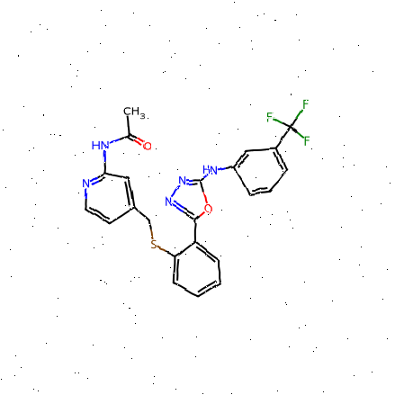 CC(=O)Nc1cc(CSc2ccccc2-c2nnc(Nc3cccc(C(F)(F)F)c3)o2)ccn1